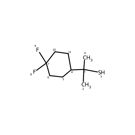 CC(C)(S)C1CCC(F)(F)CC1